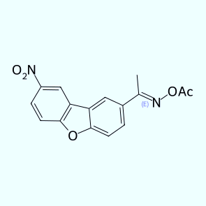 CC(=O)O/N=C(\C)c1ccc2oc3ccc([N+](=O)[O-])cc3c2c1